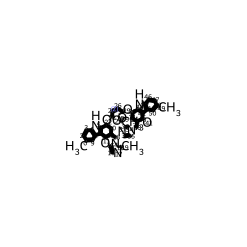 Cc1ccc2[nH]c3c(c2c1)C(=O)C(Cn1ccnc1C)CC3OC(=O)/C=C\C(=O)OC1CC(Cn2ccnc2C)C(=O)c2c1[nH]c1ccc(C)cc21